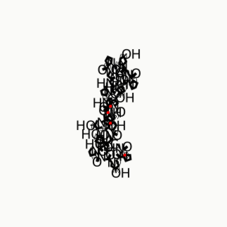 O=C(O)CNC(=O)[C@@H]1CCCN1C(=O)[C@@H]1C[C@@H](O)CN1C(=O)CNC(=O)[C@@H]1CCCN1C(=O)[C@@H]1C[C@@H](O)CN1C(=O)CNC(=O)[C@@H]1CCCN1C(=O)[C@@H]1C[C@@H](O)CN1C(=O)CNC(=O)[C@@H]1CCCN1C(=O)[C@@H]1C[C@@H](O)CN1C(=O)CNC(=O)[C@@H]1CCCN1C(=O)[C@H](CS)NC(=O)CNC(=O)[C@@H]1CCCN1C(=O)[C@@H]1C[C@@H](O)CN1C(=O)CNC(=O)[C@@H]1CCCN1C(=O)[C@@H]1C[C@@H](O)CN1